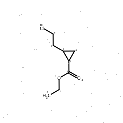 CCOC(=O)C1CC1CCCl